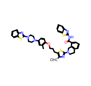 Cc1cc(N2CCN(c3nc4ccccc4s3)CC2)ccc1OCCCc1sc(N2CCc3cccc(C(=O)Nc4nc5ccccc5s4)c3C2)nc1C=O